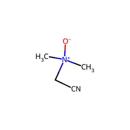 C[N+](C)([O-])CC#N